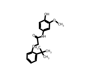 COc1cc(NC(=O)COc2ccccc2C(C)(C)C)ccc1O